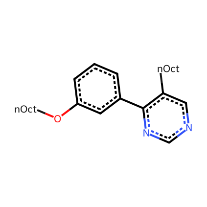 CCCCCCCCOc1cccc(-c2ncncc2CCCCCCCC)c1